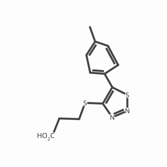 Cc1ccc(-c2snnc2SCCC(=O)O)cc1